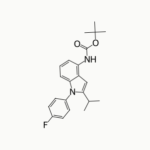 CC(C)c1cc2c(NC(=O)OC(C)(C)C)cccc2n1-c1ccc(F)cc1